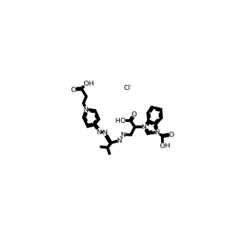 CC(C)C(N=NCC(C(=O)O)[n+]1cn(C(=O)O)c2ccccc21)=NN=c1ccn(CCC(=O)O)cc1.[Cl-]